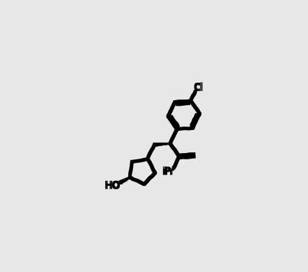 C=C(C(C)C)[C@@H](CC1CC[C@@H](O)C1)c1ccc(Cl)cc1